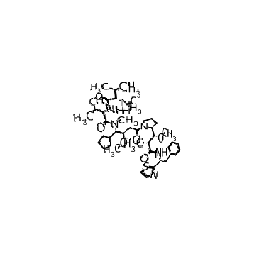 CN[C@H](C(=O)N[C@H](C(=O)N(C)[C@@H](C1CCCC1)[C@@H](CC(=O)N1CCC[C@H]1[C@H](OC)[C@@H](C)C(=O)N[C@@H](Cc1ccccc1)c1nccs1)OC)C(C)C)C(C)C